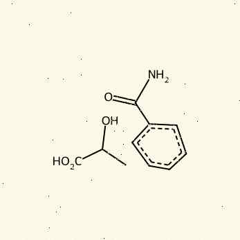 CC(O)C(=O)O.NC(=O)c1ccccc1